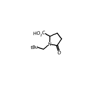 CC(C)(C)CN1C(=O)CCC1C(=O)O